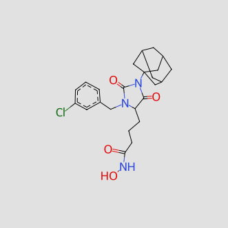 O=C(CCCC1C(=O)N(C23CC4CC(CC(C4)C2)C3)C(=O)N1Cc1cccc(Cl)c1)NO